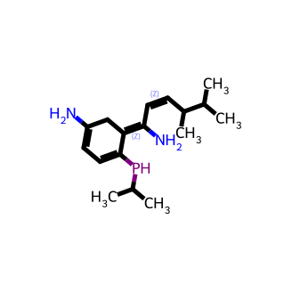 CC(C)PC1=CC=C(N)C/C1=C(N)\C=C/C(C)C(C)C